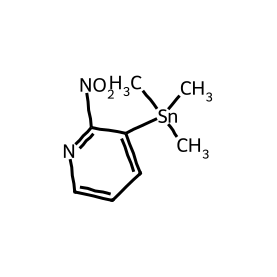 [CH3][Sn]([CH3])([CH3])[c]1cccnc1[N+](=O)[O-]